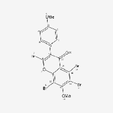 COc1ccc(-c2c(Br)oc3c(Br)c(OC)c(Br)c(Br)c3c2=O)cc1